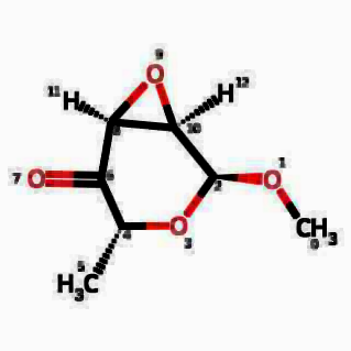 CO[C@H]1O[C@H](C)C(=O)[C@H]2O[C@@H]12